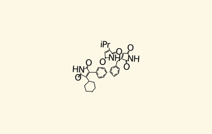 CC(C)C1=CC(=O)NC1=O.O=C1C=C(Cc2ccccc2)C(=O)N1.O=C1NC(=O)C(C2CCCCC2)=C1c1ccccc1